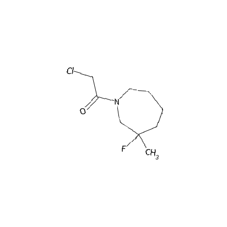 CC1(F)CCCCN(C(=O)CCl)C1